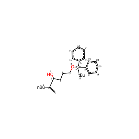 C=C(CCCC)C(O)CCCO[Si](c1ccccc1)(c1ccccc1)C(C)(C)C